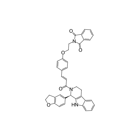 O=C1c2ccccc2C(=O)N1CCOc1ccc(C=CC(=O)N2CCc3c([nH]c4ccccc34)[C@H]2c2ccc3c(c2)CCO3)cc1